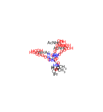 CC(=O)NC1C(OCCOCCOCCNC(=O)CCC(CCC(=O)NCCOCCOCCOC2OC(CO)C(O)C(O)C2NC(C)=O)(CCC(=O)NCCOCCOCCOC2OC(CO)C(O)C(O)C2NC(C)=O)NC(=O)CCCC(=O)NCC(C)(C)CC(C)(C)COC2CCCCC(C(C)C)CC2)OC(CO)C(O)C1O